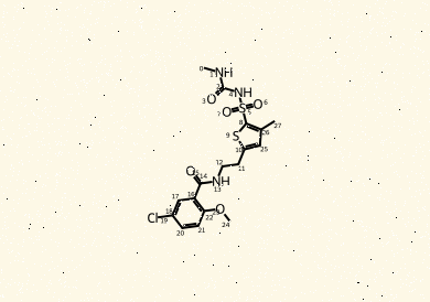 CNC(=O)NS(=O)(=O)c1sc(CCNC(=O)c2cc(Cl)ccc2OC)cc1C